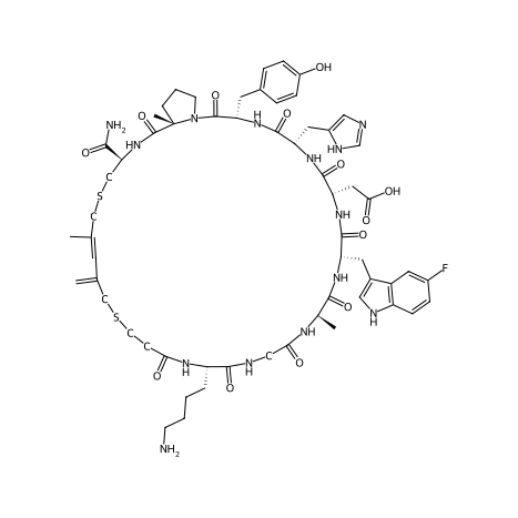 C=C1/C=C(\C)CSC[C@@H](C(N)=O)NC(=O)[C@]2(C)CCCN2C(=O)[C@H](Cc2ccc(O)cc2)NC(=O)[C@H](Cc2cnc[nH]2)NC(=O)[C@H](CC(=O)O)NC(=O)[C@H](Cc2c[nH]c3ccc(F)cc23)NC(=O)[C@@H](C)NC(=O)CNC(=O)[C@H](CCCCN)NC(=O)CCSC1